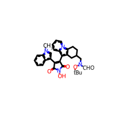 Cn1cc(C2=C(c3c4c(n5ccccc35)CCC(CN(C=O)OC(C)(C)C)C4)C(=O)N(O)C2=O)c2ccccc21